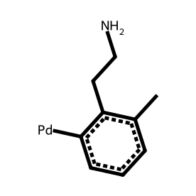 Cc1ccc[c]([Pd])c1CCN